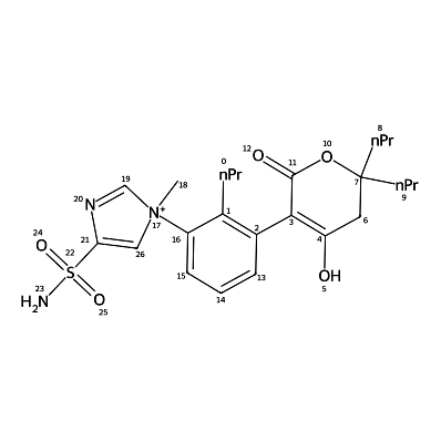 CCCc1c(C2=C(O)CC(CCC)(CCC)OC2=O)cccc1[N+]1(C)C=NC(S(N)(=O)=O)=C1